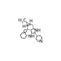 C=C1[C@@H]2C(=O)c3c([nH]c(-c4ccncc4)c3Nc3ccccc3)C[C@H]12